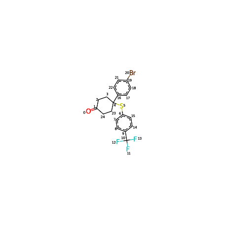 O=C1CCC(Sc2ccc(C(F)(F)F)cc2)(c2ccc(Br)cc2)CC1